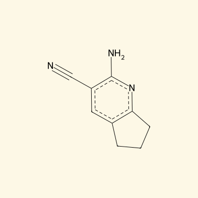 N#Cc1cc2c(nc1N)CCC2